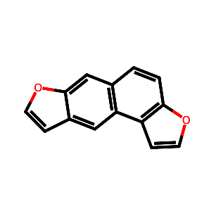 c1cc2cc3c(ccc4occc43)cc2o1